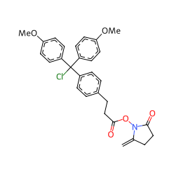 C=C1CCC(=O)N1OC(=O)CCc1ccc(C(Cl)(c2ccc(OC)cc2)c2ccc(OC)cc2)cc1